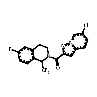 O=C(c1cc2ccc(Cl)cn2n1)N1CCc2cc(F)ccc2C1C(F)(F)F